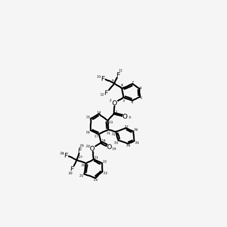 O=C(Oc1ccccc1C(F)(F)F)c1cccc(C(=O)Oc2ccccc2C(F)(F)F)c1-c1ccccc1